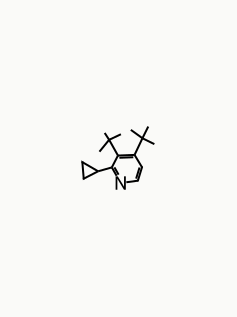 CC(C)(C)c1ccnc(C2CC2)c1C(C)(C)C